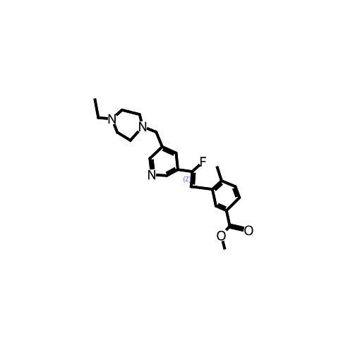 CCN1CCN(Cc2cncc(/C(F)=C/c3cc(C(=O)OC)ccc3C)c2)CC1